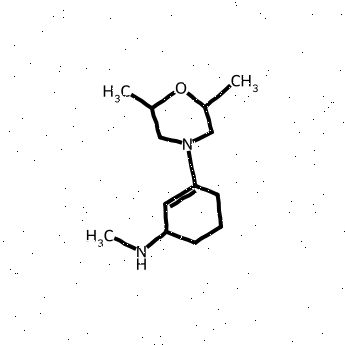 CNC1C=C(N2CC(C)OC(C)C2)CCC1